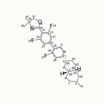 CC1CC[C@@H]2C[C@H](c3ccc(-c4cc(F)c(C5=NC(C)(C)CO5)c(F)c4)c(F)c3)CC[C@@H]2C1